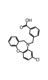 O=C(O)c1cccc(CN2Cc3ccccc3Oc3ccc(Cl)cc32)c1